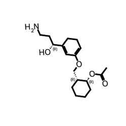 CC(=O)O[C@@H]1CCCC[C@@H]1COC1=CCCC([C@H](O)CCN)=C1